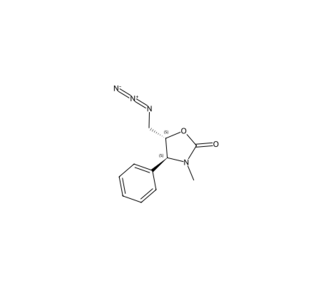 CN1C(=O)O[C@@H](CN=[N+]=[N-])[C@@H]1c1ccccc1